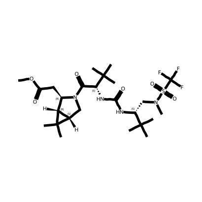 COC(=O)C[C@@H]1[C@@H]2[C@H](CN1C(=O)[C@@H](NC(=O)N[C@H](CN(C)S(=O)(=O)C(F)(F)F)C(C)(C)C)C(C)(C)C)C2(C)C